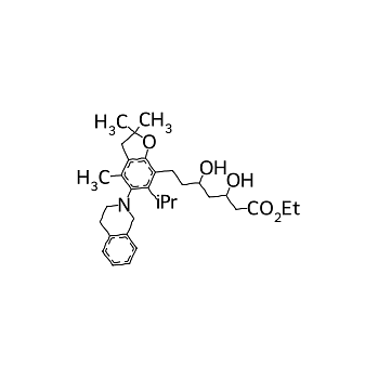 CCOC(=O)CC(O)CC(O)CCc1c2c(c(C)c(N3CCc4ccccc4C3)c1C(C)C)CC(C)(C)O2